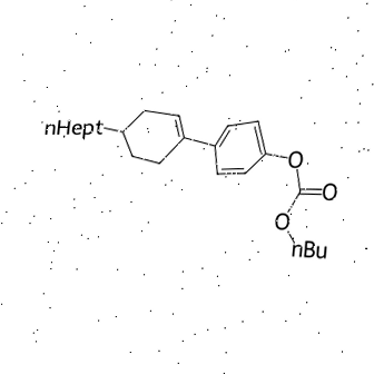 CCCCCCCC1CC=C(c2ccc(OC(=O)OCCCC)cc2)CC1